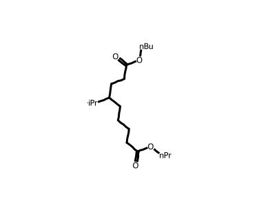 CCCCOC(=O)CCC(CCCCC(=O)OCCC)[C](C)C